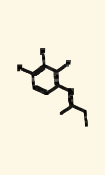 CC/C(C)=N/c1ccc(F)c(F)c1F